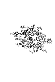 CC[C@H](C)[C@H](NC(=O)[C@@H]1C[C@@H](O)CN1C(=O)[C@@H](N)C(C)C)C(=O)N[C@H](C(=O)N[C@@H](Cc1ccc(O)cc1)C(=O)N[C@@H](CCN)C(=O)N[C@@H](CC(N)=O)C(=O)N[C@@H](CCCNC(=N)N)C(=O)N[C@@H](CCN)C(=O)N[C@H](C(=O)N[C@H](CCN)C(=O)N[C@@H](CCCCN)C(=O)N[C@H](C(=O)N[C@@H](CCN)C(=O)N[C@@H](CS)C(=O)N[C@@H](Cc1ccc(O)cc1)C(=O)O)[C@@H](C)O)[C@@H](C)O)C(C)(C)S